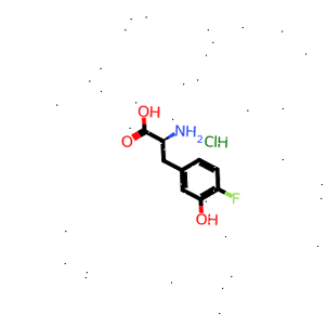 Cl.N[C@@H](Cc1ccc(F)c(O)c1)C(=O)O